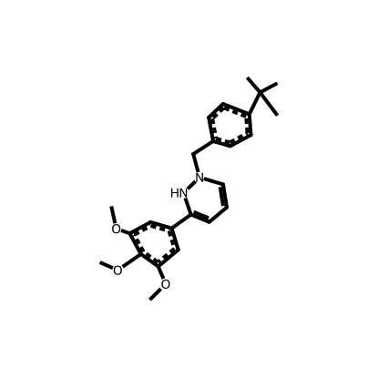 COc1cc(C2=CC=CN(Cc3ccc(C(C)(C)C)cc3)N2)cc(OC)c1OC